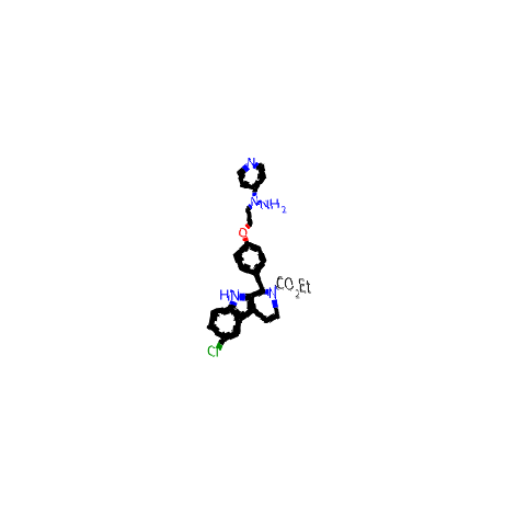 CCOC(=O)N1CCc2c([nH]c3ccc(Cl)cc23)C1c1ccc(OCCN(N)c2ccncc2)cc1